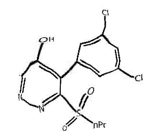 CCCS(=O)(=O)c1nn[c]c(O)c1-c1cc(Cl)cc(Cl)c1